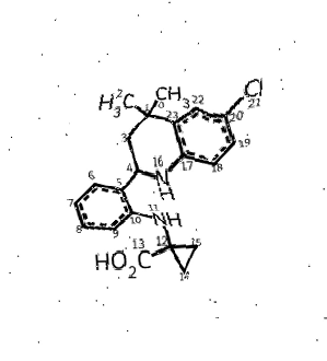 CC1(C)CC(c2ccccc2NC2(C(=O)O)CC2)Nc2ccc(Cl)cc21